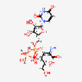 N[C@@H](C=O)[C@@H](OP(=O)(OC[C@H]1O[C@@H](n2ccc(=O)[nH]c2=O)[C@H](O)[C@@H]1O)OP(=O)(O)O)[C@@H](O)[C@H](O)CO